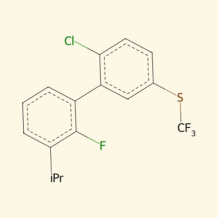 CC(C)c1cccc(-c2cc(SC(F)(F)F)ccc2Cl)c1F